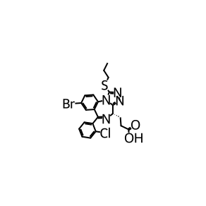 CCCSc1nnc2n1-c1ccc(Br)cc1C(c1ccccc1Cl)=N[C@H]2CCC(=O)O